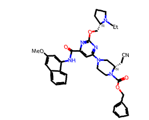 CCN1CCC[C@H]1COc1nc(C(=O)Nc2cc(OC)cc3ccccc23)cc(N2CCN(C(=O)OCc3ccccc3)[C@@H](CC#N)C2)n1